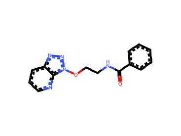 O=C(NCCOn1nnc2cccnc21)c1ccccc1